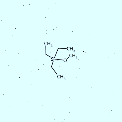 CC[Si](CC)(CC)OC